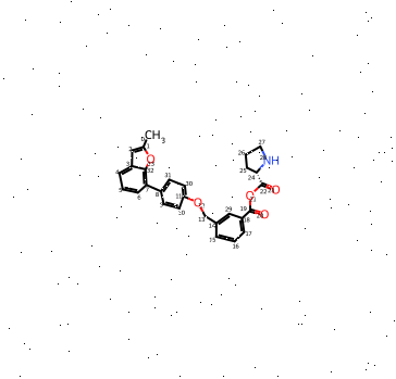 Cc1cc2cccc(-c3ccc(OCc4cccc(C(=O)OC(=O)[C@@H]5CCCN5)c4)cc3)c2o1